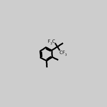 Cc1cccc(C(C)(C(F)(F)F)C(F)(F)F)c1C